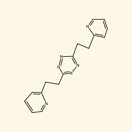 c1ccc(CCc2nnc(CCc3ccccn3)nn2)nc1